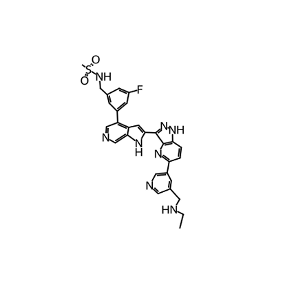 CCNCc1cncc(-c2ccc3[nH]nc(-c4cc5c(-c6cc(F)cc(CNS(C)(=O)=O)c6)cncc5[nH]4)c3n2)c1